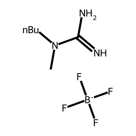 CCCCN(C)C(=N)N.F[B-](F)(F)F